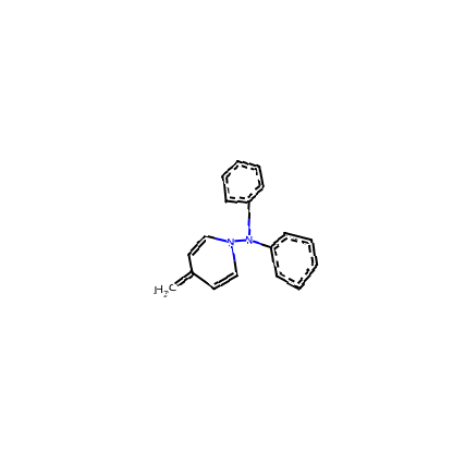 C=C1C=CN(N(c2ccccc2)c2ccccc2)C=C1